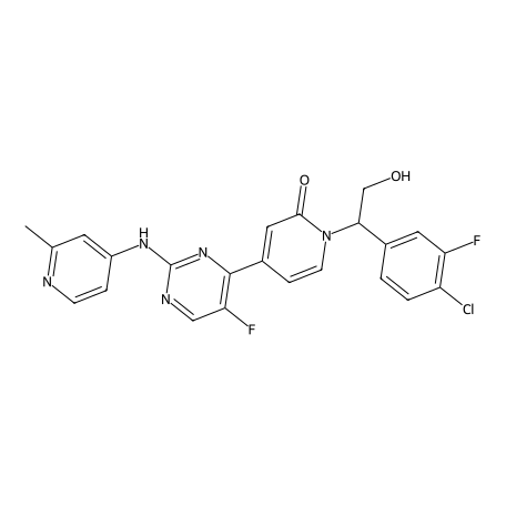 Cc1cc(Nc2ncc(F)c(-c3ccn(C(CO)c4ccc(Cl)c(F)c4)c(=O)c3)n2)ccn1